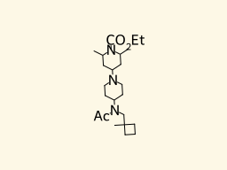 CCOC(=O)N1C(C)CC(N2CCC(N(CC3(C)CCC3)C(C)=O)CC2)CC1C